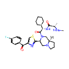 CN[C@@H](C)C(=O)N[C@H](C(=O)N1C[C@H]2CCCN2C[C@H]1c1nc(C(=O)c2ccc(F)cc2)cs1)C1CCCCC1